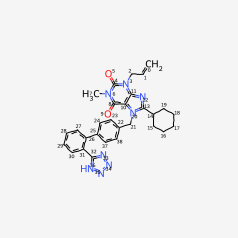 C=CCn1c(=O)n(C)c(=O)c2c1nc(C1CCCCC1)n2Cc1ccc(-c2ccccc2-c2nnn[nH]2)cc1